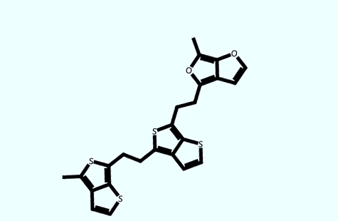 Cc1sc(CCc2sc(CCc3oc(C)c4occc34)c3sccc23)c2sccc12